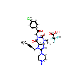 CC#CCn1c(N2CCNCC2)nc2c1c(=O)n(CC(=O)c1ccc(Cl)cc1)c(=O)n2C.O=C(O)C(F)(F)F